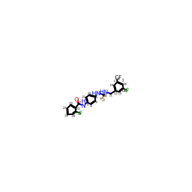 O=C(Nc1ccc(NC(=S)NCc2cc(F)cc(C(F)(F)F)c2)cc1)c1ccccc1F